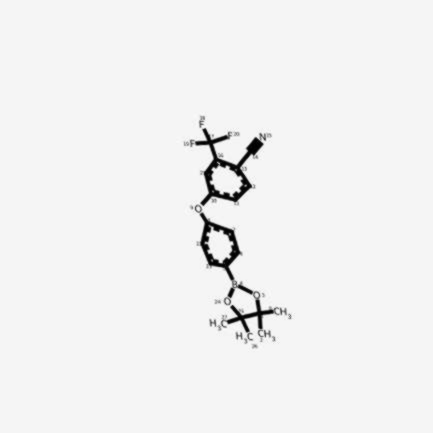 CC1(C)OB(c2ccc(Oc3ccc(C#N)c(C(F)(F)F)c3)cc2)OC1(C)C